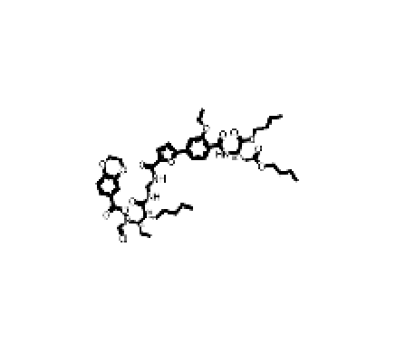 CCCCC[C@@H](C(=O)NCNC(=O)c1ccc(-c2ccc(C(=O)N[C@@H](CC(=O)OCCCC)C(=O)OCCCC)c(OCC)c2)o1)[C@@H](CC)N(C=O)OC(=O)c1ccc2c(c1)OCCO2